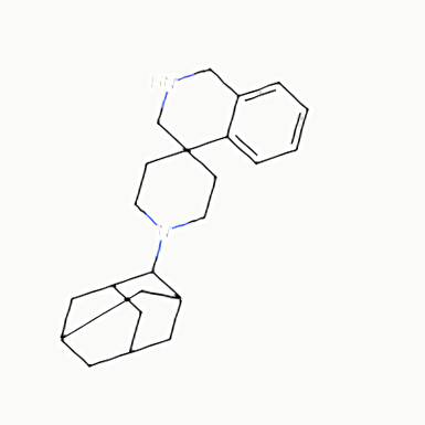 c1ccc2c(c1)CNCC21CCN(C2C3CC4CC(C3)CC2C4)CC1